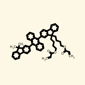 C=CC(=O)OCCCCC1(CCCCOC(=O)C=C)c2ccccc2-c2ccc(-c3c4ccccc4c(-c4ccc5c(c4)C(C)(C)c4ccccc4-5)c4ccccc34)cc21